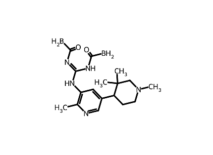 BC(=O)/N=C(\NC(B)=O)Nc1cc(C2CCN(C)CC2(C)C)cnc1C